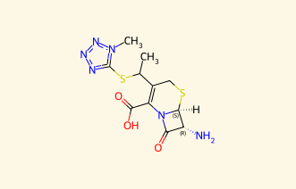 CC(Sc1nnnn1C)C1=C(C(=O)O)N2C(=O)[C@@H](N)[C@@H]2SC1